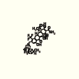 C[C@@H]1C2CC[C@H](CN(Cc3cc(O)c4c(c3C(F)(F)F)C[C@H]3C[C@H]5[C@H](N(C)C)C(O)=C(C(N)=O)C(=O)[C@@]5(O)C(O)=C3C4=O)CC3CC3)C1C2(C)C